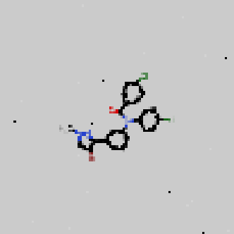 Cn1cc(Br)c(-c2cccc(N(C(=O)c3ccc(Cl)cc3)c3ccc(Cl)cc3)c2)n1